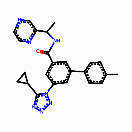 Cc1ccc(-c2cc(C(=O)NC(C)c3cnccn3)cc(-n3nnnc3C3CC3)c2)cc1